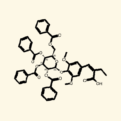 CCC(=Cc1cc(OC)c(O[C@@H]2O[C@H](COC(=O)c3ccccc3)[C@@H](OC(=O)c3ccccc3)[C@H](OC(=O)c3ccccc3)[C@H]2OC(=O)c2ccccc2)c(OC)c1)C(=O)O